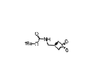 CC(C)(C)OC(=O)NCC1=CS(=O)(=O)C1